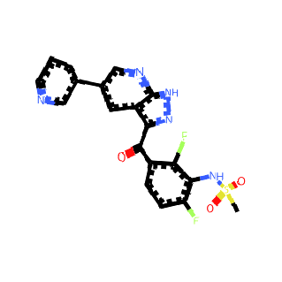 CS(=O)(=O)Nc1c(F)ccc(C(=O)c2n[nH]c3ncc(-c4cccnc4)cc23)c1F